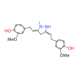 COc1cc(CC=C2CC(=CCc3ccc(O)c(OC)c3)N(C)N2)ccc1O